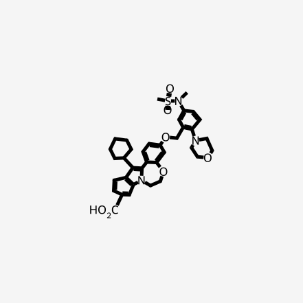 CN(c1ccc(N2CCOCC2)c(COc2ccc3c(c2)OCCn2c-3c(C3CCCCC3)c3ccc(C(=O)O)cc32)c1)S(C)(=O)=O